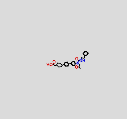 CC1CN(C(=O)NCCc2ccccc2)c2ccc(-c3ccc(C4CCC(CC(=O)O)CC4)cc3)cc2O1